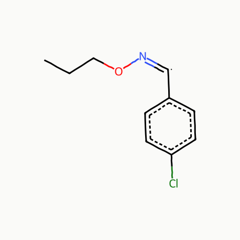 CCCO/N=[C]\c1ccc(Cl)cc1